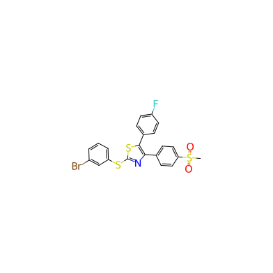 CS(=O)(=O)c1ccc(-c2nc(Sc3cccc(Br)c3)sc2-c2ccc(F)cc2)cc1